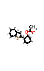 CC(=O)Oc1ccccc1-c1cc2ccccc2s1